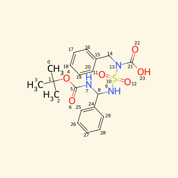 CC(C)(C)OC(=O)NC(NS(=O)(=O)N(Cc1ccccc1)C(=O)O)c1ccccc1